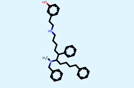 CN(Cc1ccccc1)C(CCCCc1ccccc1)C(CCCCNCCc1cccc(O)c1)c1ccccc1